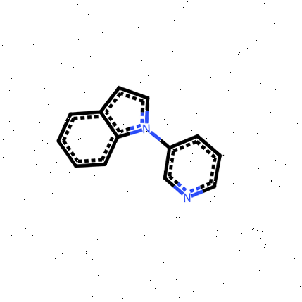 [c]1cncc(-n2ccc3ccccc32)c1